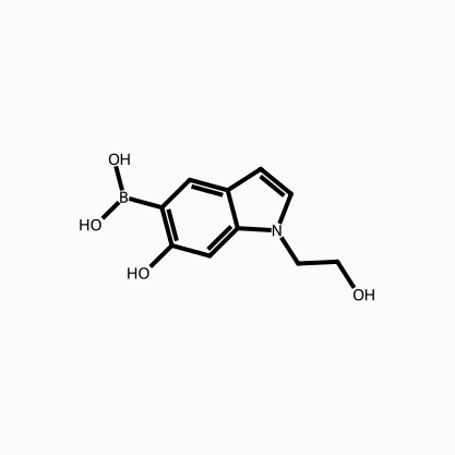 OCCn1ccc2cc(B(O)O)c(O)cc21